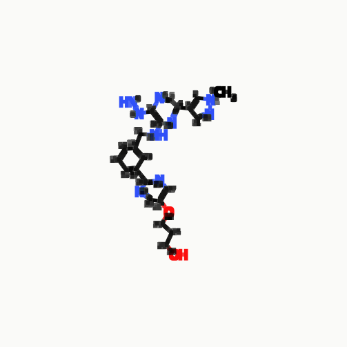 Cn1cc(-c2cnc(N=N)c(NCc3cccc(-c4ncc(OCCCO)cn4)c3)n2)cn1